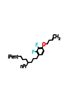 C=CCCOc1ccc(CCCC(CCC)CCCC(C)CCC)c(F)c1F